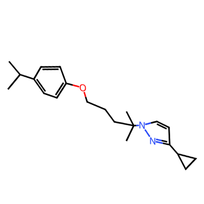 CC(C)c1ccc(OCCCC(C)(C)n2ccc(C3CC3)n2)cc1